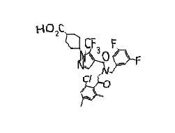 Cc1cc(C)c(C(=O)CN(Cc2cc(F)cc(F)c2)C(=O)c2cnn([C@H]3CC[C@H](C(=O)O)CC3)c2C(F)(F)F)c(Cl)c1